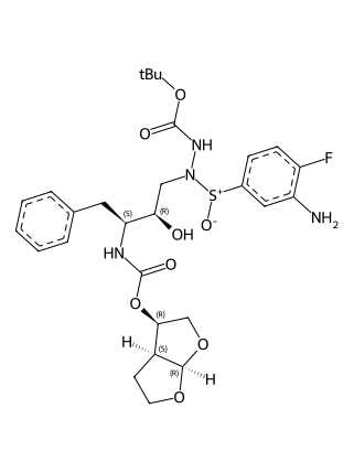 CC(C)(C)OC(=O)NN(C[C@@H](O)[C@H](Cc1ccccc1)NC(=O)O[C@H]1CO[C@H]2OCC[C@H]21)[S+]([O-])c1ccc(F)c(N)c1